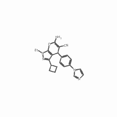 CCn1nc(C2CCC2)c2c1OC(N)=C(C#N)C2c1ccc(-n2ccnc2)cc1